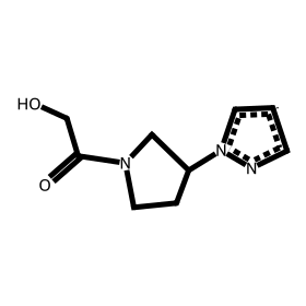 O=C(CO)N1CCC(n2c[c]cn2)C1